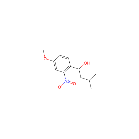 COc1ccc(C(O)CC(C)C)c([N+](=O)[O-])c1